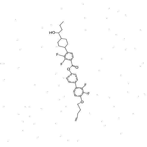 C=CCCCOc1ccc(-c2ccc(OC(=O)c3ccc(C4CCC(C(O)CCC)CC4)c(F)c3F)cc2)c(F)c1F